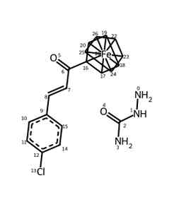 NNC(N)=O.O=C(C=Cc1ccc(Cl)cc1)[C]12[CH]3[CH]4[CH]5[CH]1[Fe]45321678[CH]2[CH]1[CH]6[CH]7[CH]28